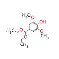 CCOC(OCC)c1cc(OC)c(O)c(OC)c1